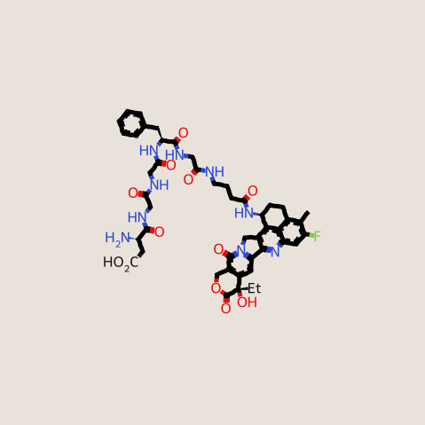 CC[C@@]1(O)C(=O)OCc2c1cc1n(c2=O)Cc2c-1nc1cc(F)c(C)c3c1c2[C@@H](NC(=O)CCCNC(=O)CNC(=O)[C@H](Cc1ccccc1)NC(=O)CNC(=O)CNC(=O)[C@@H](N)CC(=O)O)CC3